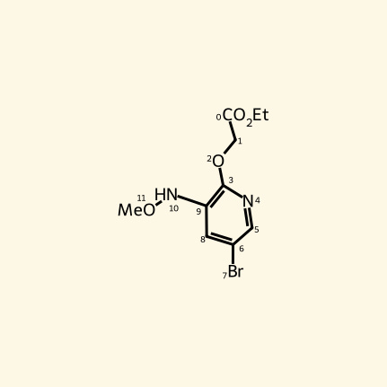 CCOC(=O)COc1ncc(Br)cc1NOC